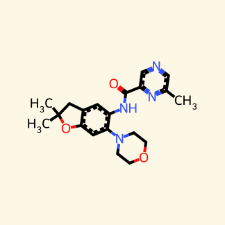 Cc1cncc(C(=O)Nc2cc3c(cc2N2CCOCC2)OC(C)(C)C3)n1